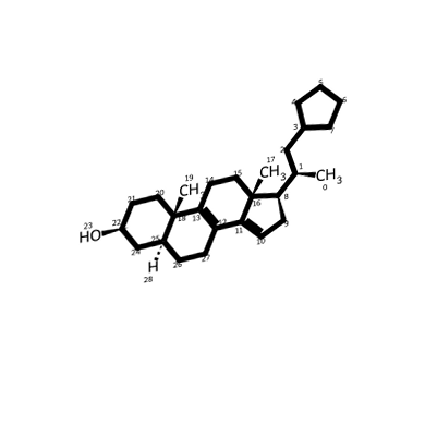 C[C@H](CC1CCCC1)[C@H]1CC=C2C3=C(CC[C@@]21C)[C@@]1(C)CC[C@H](O)C[C@@H]1CC3